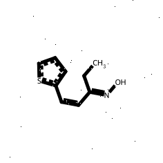 CCC(/C=C\c1cccs1)=N\O